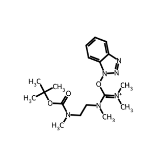 CN(CCN(C)C(On1nnc2ccccc21)=[N+](C)C)C(=O)OC(C)(C)C